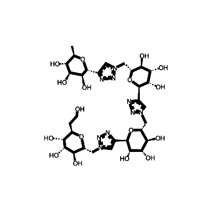 C[C@H]1O[C@H](c2cn(C[C@H]3O[C@H](c4cn(C[C@H]5O[C@H](c6cn(C[C@H]7O[C@H](CCO)[C@@H](O)[C@@H](O)[C@@H]7O)nn6)[C@@H](O)[C@@H](O)[C@@H]5O)nn4)[C@@H](O)[C@@H](O)[C@@H]3O)nn2)[C@@H](O)[C@@H](O)[C@@H]1O